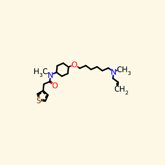 C=CCN(C)CCCCCCOC1CCC(N(C)C(=O)Cc2ccsc2)CC1